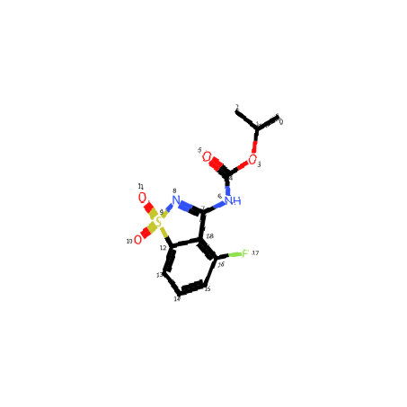 CC(C)OC(=O)NC1=NS(=O)(=O)c2cccc(F)c21